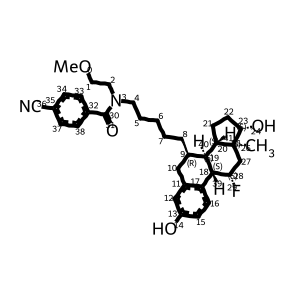 COCCN(CCCCC[C@@H]1Cc2cc(O)ccc2[C@@H]2[C@@H]1[C@@H]1CC[C@H](O)[C@@]1(C)C[C@@H]2F)C(=O)c1ccc(C#N)cc1